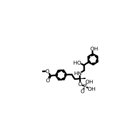 COC(=O)c1ccc(CC[C@](C)(NCC(O)c2cccc(O)c2)OP(=O)(O)O)cc1